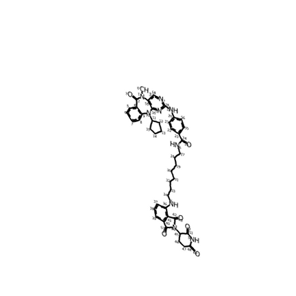 CN1C(=O)c2ccccc2N(C2CCCC2)c2nc(Nc3ccc(C(=O)NCCCCCCCCNc4cccc5c4C(=O)N(C4CCC(=O)NC4=O)C5=O)cc3)ncc21